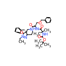 CCN1N=C2CCN(C(=O)[C@@H](COCc3ccccc3)NC(=O)C(C)(C)NC(=O)OC(C)(C)C)C[C@]2(Cc2ccccc2)C1=O